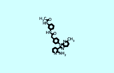 CC(=O)Nc1cccc(NC(=O)Cc2ccc(-n3c(-c4cccnc4N)nc4ccc(C)nc43)cc2)c1